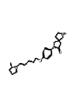 CC1CCCN1CCCCCOc1ccc(N2CC3(CCNC3)CC2=O)cc1